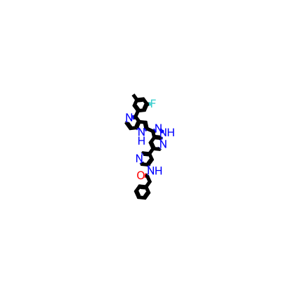 Cc1cc(F)cc(-c2nccc3[nH]c(-c4n[nH]c5ncc(-c6cncc(NC(=O)Cc7ccccc7)c6)cc45)cc23)c1